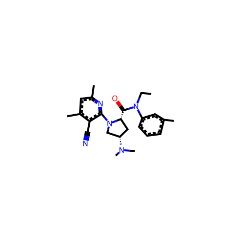 CCN(C(=O)[C@@H]1C[C@H](N(C)C)CN1c1nc(C)cc(C)c1C#N)c1cccc(C)c1